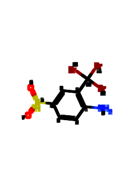 Nc1ccc([SH](=O)=O)cc1C(Br)(Br)Br